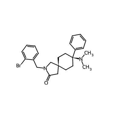 CN(C)[C@]1(c2ccccc2)CC[C@@]2(CC1)CC(=O)N(Cc1ccccc1Br)C2